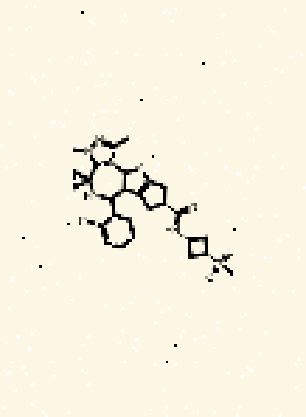 CC1=NN(C)C2N1C1SC3=C(C[C@H](C(=O)N[C@H]4C[C@H](S(C)(=O)=O)C4)C3)C1C(C1CCCC=C1Cl)NC21CC1